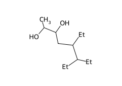 CCC(CC)C(CC)CC(O)C(C)O